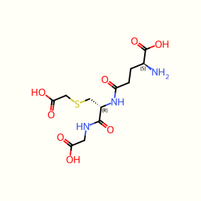 N[C@@H](CCC(=O)N[C@@H](CSCC(=O)O)C(=O)NCC(=O)O)C(=O)O